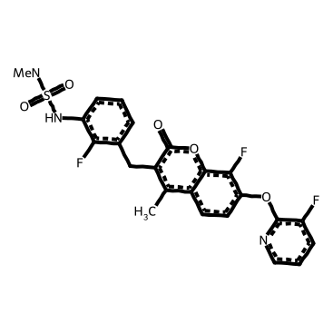 CNS(=O)(=O)Nc1cccc(Cc2c(C)c3ccc(Oc4ncccc4F)c(F)c3oc2=O)c1F